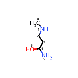 CNCCC(N)O